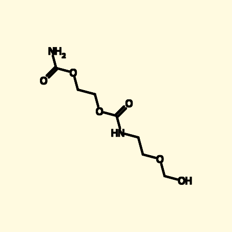 NC(=O)OCCOC(=O)NCCOCO